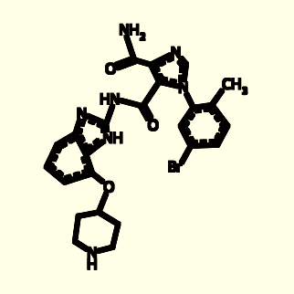 Cc1ccc(Br)cc1-n1cnc(C(N)=O)c1C(=O)Nc1nc2cccc(OC3CCNCC3)c2[nH]1